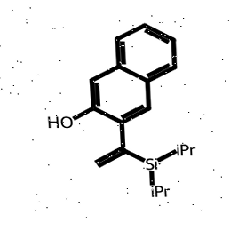 C=C(c1cc2ccccc2cc1O)[Si](C(C)C)C(C)C